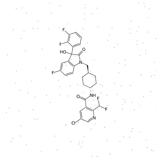 O=C(N[C@H]1CC[C@H](CN2C(=O)C(O)(c3cccc(F)c3F)c3cc(F)ccc32)CC1)c1cc(Cl)cnc1C(F)F